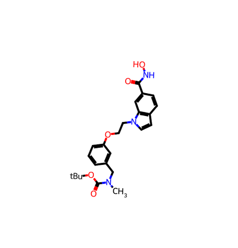 CN(Cc1cccc(OCCn2ccc3ccc(C(=O)NO)cc32)c1)C(=O)OC(C)(C)C